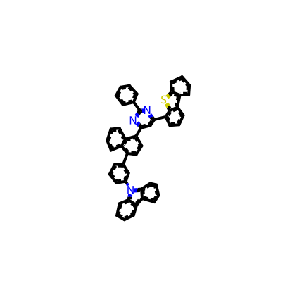 c1ccc(-c2nc(-c3ccc(-c4cccc(-n5c6ccccc6c6ccccc65)c4)c4ccccc34)cc(-c3cccc4c3sc3ccccc34)n2)cc1